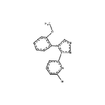 COc1ccccc1-n1cnnc1-c1cccc(Br)n1